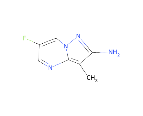 Cc1c(N)nn2cc(F)cnc12